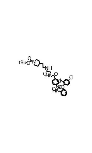 CC(C)(C)OC(=O)N1CCC(CCNC(=O)CNC(=O)c2ccc(S(=O)(=O)Nc3ccccc3Oc3ccc(Cl)cc3Cl)cc2)CC1